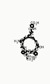 Cc1sc2nc1C(=O)N[C@@H]([C@H](OC(=O)NCC(=O)O)c1ccccc1)c1nc(cs1)C(=O)N[C@@H](Cc1ccc(O)cc1)C(=O)N1C[C@H](O)[C@H](C)[C@H]1c1nc(cs1)-c1nc(cs1)-c1nc(-c3nc(C(=O)N[C@H]4CC[C@H](C(=O)O)CC4)cs3)ccc1-c1nc(cs1)C(=O)N[C@H]2CC(N)=O